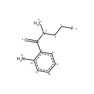 CN(CCF)C(=O)c1ccccc1N